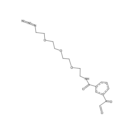 [N-]=[N+]=NCCOCCOCCOCCNC(=O)c1cccc(C(=O)C=O)c1